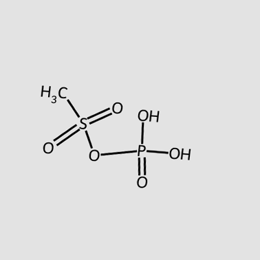 CS(=O)(=O)OP(=O)(O)O